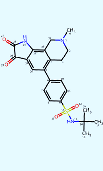 CN1CCc2c(-c3ccc(S(=O)(=O)NC(C)(C)C)cc3)cc3c(c2C1)NC(=O)C3=O